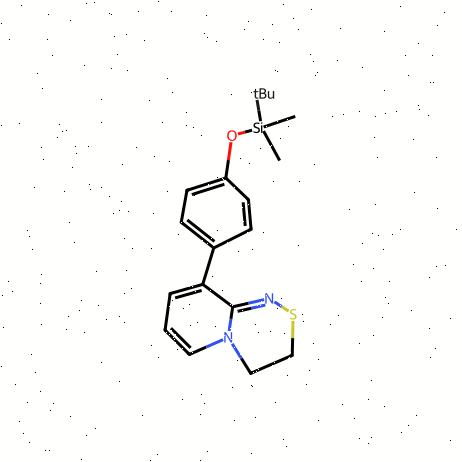 CC(C)(C)[Si](C)(C)Oc1ccc(C2=CC=CN3CCSN=C23)cc1